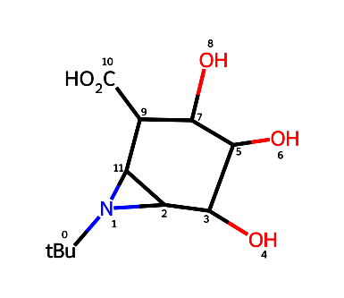 CC(C)(C)N1C2C(O)C(O)C(O)C(C(=O)O)C21